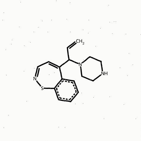 C=CC(C1=CC=NSc2ccccc21)N1CCNCC1